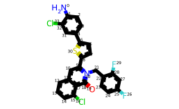 Nc1ccc(-c2ccc(-c3cc4cccc(Cl)c4c(=O)n3Cc3ccc(F)cc3F)s2)cc1Cl